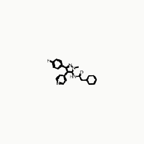 Cn1nc(-c2ccc(F)cc2)c(-c2ccncc2)c1NC(=O)CC1CCCCC1